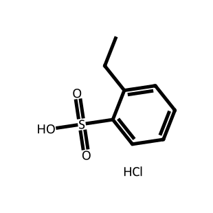 CCc1ccccc1S(=O)(=O)O.Cl